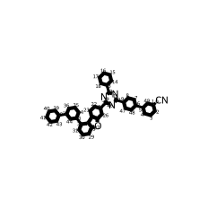 N#Cc1cccc(-c2ccc(-c3nc(-c4ccccc4)nc(-c4ccc5c(c4)oc4cccc(-c6cccc(-c7ccccc7)c6)c45)n3)cc2)c1